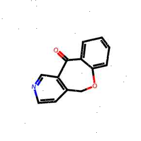 O=C1c2cnccc2COc2ccccc21